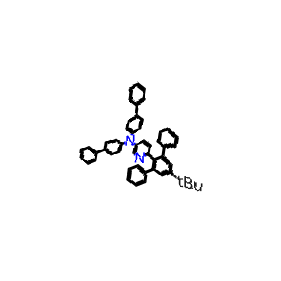 CC(C)(C)c1cc(-c2ccccc2)c(-c2ccc(N(c3ccc(-c4ccccc4)cc3)c3ccc(-c4ccccc4)cc3)cn2)c(-c2ccccc2)c1